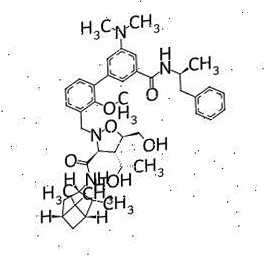 COc1c(CN2O[C@@H](CO)[C@H]([C@H](C)O)[C@H]2C(=O)N[C@H]2C[C@H]3C[C@@H]([C@@H]2C)C3(C)C)cccc1-c1cc(C(=O)N[C@@H](C)Cc2ccccc2)cc(N(C)C)c1